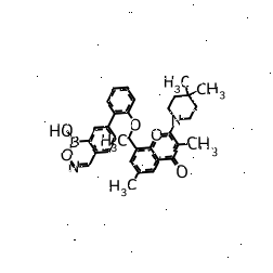 Cc1cc([C@H](C)Oc2ccccc2-c2ccc3c(c2)B(O)ON=C3)c2oc(N3CCC(C)(C)CC3)c(C)c(=O)c2c1